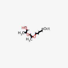 CCCCCCCCCCCCOC(C)COC(C)CO